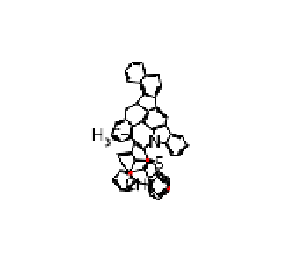 CCC1=C(\n2c3ccccc3c3cc4c5c(c32)-c2ccccc2CC5c2c-4ccc3ccccc23)c2sc3ccccc3c2C(C)C\C=C\1C1CCc2ccccc2-c2ccccc21